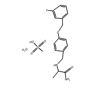 CC(NCc1ccc(OCc2cccc(F)c2)cc1)C(N)=O.CS(=O)(=O)O.O